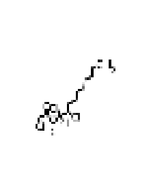 C=CC(=O)OC(Cl)(Cl)C(Cl)CCCCCCCC